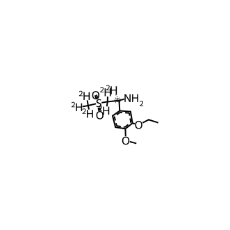 [2H]C([2H])([2H])S(=O)(=O)C([2H])([2H])[C@@]([2H])(N)c1ccc(OC)c(OCC)c1